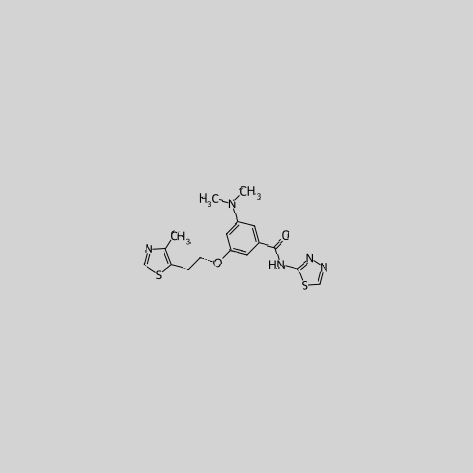 Cc1ncsc1CCOc1cc(C(=O)Nc2nncs2)cc(N(C)C)c1